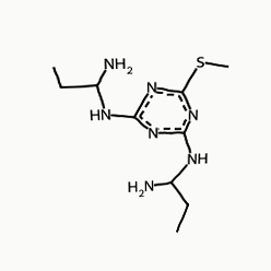 CCC(N)Nc1nc(NC(N)CC)nc(SC)n1